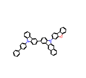 c1ccc(-c2ccc(-n3c4ccccc4c4cc(-c5ccc6c(c5)c5cc7ccccc7cc5n6-c5ccc6c(c5)oc5ccccc56)ccc43)cc2)cc1